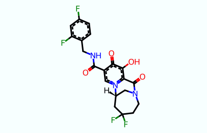 O=C(NCc1ccc(F)cc1F)c1cn2c(c(O)c1=O)C(=O)N1CCC(F)(F)C[C@H]2C1